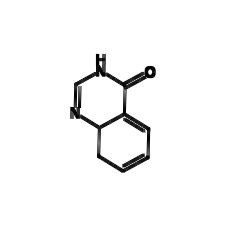 O=C1NC=NC2CC=CC=C12